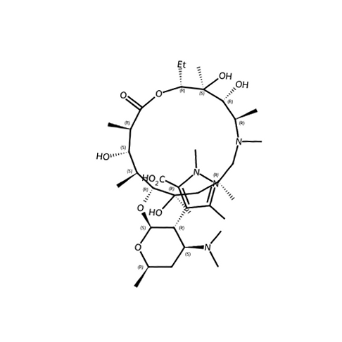 CC[C@H]1OC(=O)[C@H](C)[C@@H](O)[C@H](C)[C@@H](O[C@@H]2O[C@H](C)C[C@H](N(C)C)[C@H]2c2c(C)nn(C)c2C(=O)O)[C@](C)(O)C[C@@H](C)CN(C)[C@H](C)[C@@H](O)[C@]1(C)O